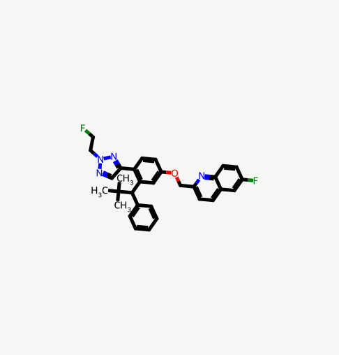 CC(C)(C)C(c1ccccc1)c1cc(OCc2ccc3cc(F)ccc3n2)ccc1-c1cnn(CCF)n1